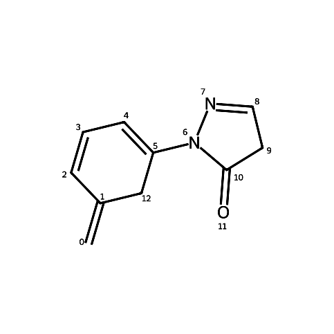 C=C1C=CC=C(N2N=CCC2=O)C1